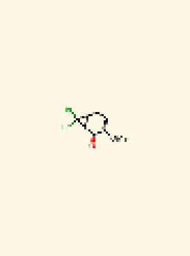 COC1=CCC2C(C1=O)C2(Br)Br